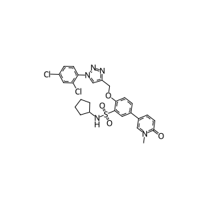 Cn1cc(-c2ccc(OCc3cn(-c4ccc(Cl)cc4Cl)nn3)c(S(=O)(=O)NC3CCCC3)c2)ccc1=O